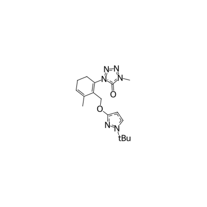 CC1=CCCC(n2nnn(C)c2=O)=C1COc1ccn(C(C)(C)C)n1